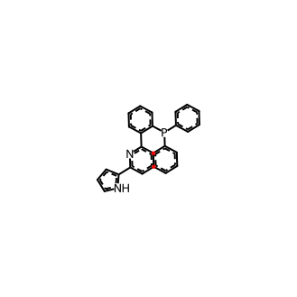 c1ccc(P(c2ccccc2)c2ccccc2-c2cccc(-c3ccc[nH]3)n2)cc1